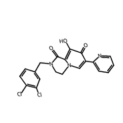 O=C1c2c(O)c(=O)c(-c3ccccn3)cn2CCN1Cc1ccc(Cl)c(Cl)c1